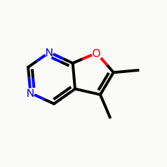 Cc1oc2ncncc2c1C